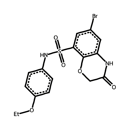 CCOc1ccc(NS(=O)(=O)c2cc(Br)cc3c2OCC(=O)N3)cc1